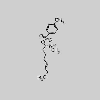 CCC=CCCCC(NC)OS(=O)(=O)c1ccc(C)cc1